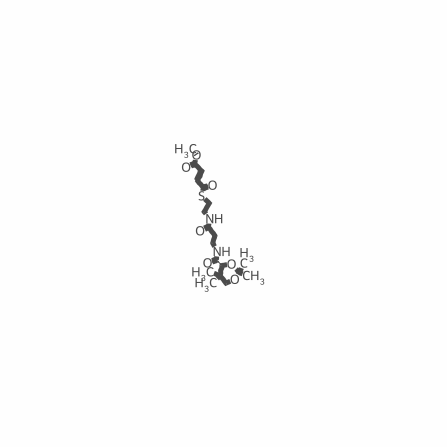 COC(=O)/C=C/C(=O)SCCNC(=O)CCNC(=O)[C@@H]1OC(C)(C)OCC1(C)C